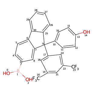 OB(O)c1ccc2c(c1)C(c1ccc(O)cc1)(c1cc(C(F)(F)F)cc(C(F)(F)F)c1)c1ccccc1-2